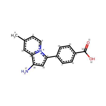 Cc1ccn2c(-c3ccc(C(=O)O)cc3)cc(N)c2c1